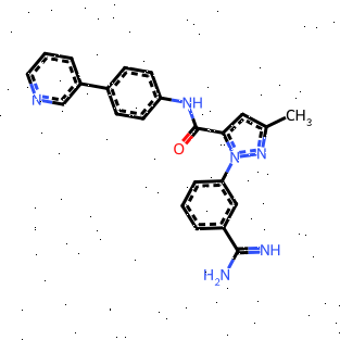 Cc1cc(C(=O)Nc2ccc(-c3cccnc3)cc2)n(-c2cccc(C(=N)N)c2)n1